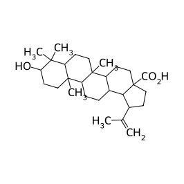 C=C(C)C1CCC2(C(=O)O)CCC3C(CCC4C3(C)CCC3C(C)(C)C(O)CCC34C)C12